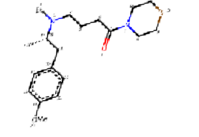 CCN(CCCC(=O)N1CCSCC1)[C@@H](C)Cc1ccc(OC)cc1